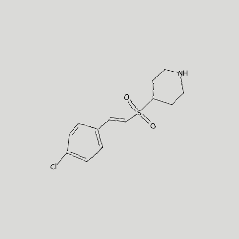 O=S(=O)(C=Cc1ccc(Cl)cc1)C1CCNCC1